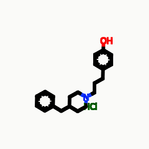 Cl.Oc1ccc(CCCN2CCC(Cc3ccccc3)CC2)cc1